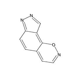 c1cc2ccc3nncc3c2on1